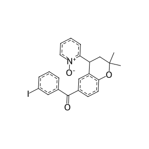 CC1(C)CC(c2cccc[n+]2[O-])c2cc(C(=O)c3cccc(I)c3)ccc2O1